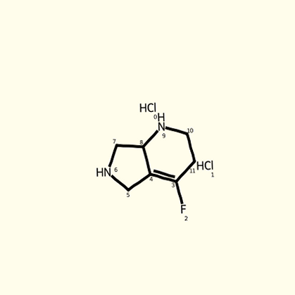 Cl.Cl.FC1=C2CNCC2NCC1